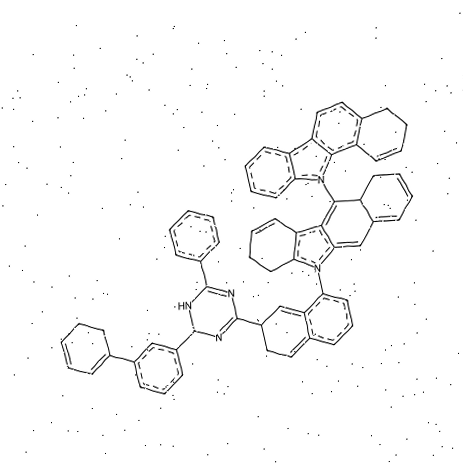 C1=CCCC(c2cccc(C3N=C(C4C=c5c(-n6c7c(c8c6=CC6=CC=CCC6C=8n6c8ccccc8c8ccc9c(c86)C=CCC9)C=CCC7)cccc5=CC4)N=C(c4ccccc4)N3)c2)=C1